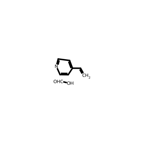 C=Cc1ccncc1.O=CO